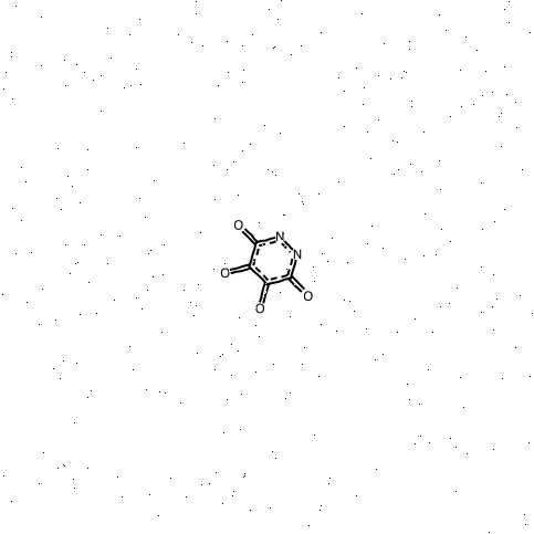 O=c1nnc(=O)c(=O)c1=O